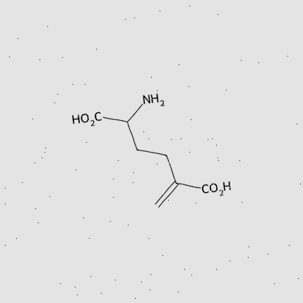 C=C(CCC(N)C(=O)O)C(=O)O